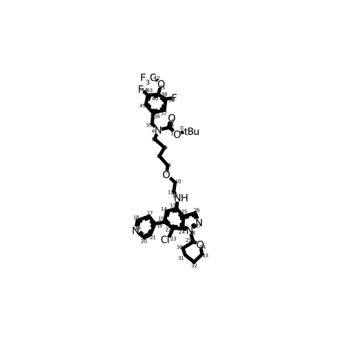 CC(C)(C)OC(=O)N(CCCCOCCNc1cc(-c2ccncc2)c(Cl)c2c1cnn2C1CCCCO1)Cc1cc(F)c(OC(F)(F)F)c(F)c1